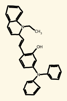 CCN1c2ccccc2C=CC1C=Cc1ccc(N(c2ccccc2)c2ccccc2)cc1O